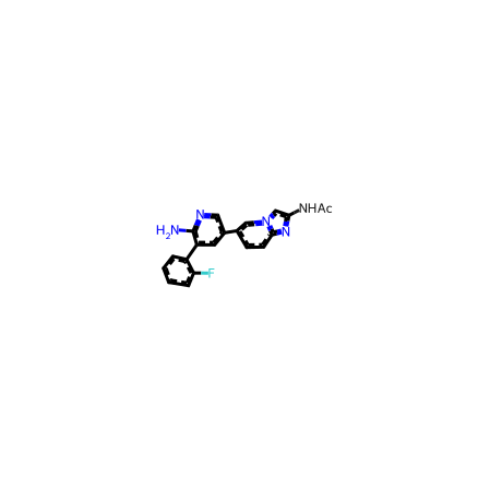 CC(=O)Nc1cn2cc(-c3cnc(N)c(-c4ccccc4F)c3)ccc2n1